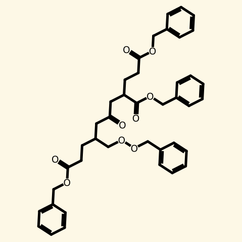 O=C(CC(CCC(=O)OCc1ccccc1)COOCc1ccccc1)CC(CCC(=O)OCc1ccccc1)C(=O)OCc1ccccc1